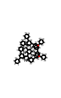 c1ccc(-c2ccc3c(c2)c2ccccc2n3-c2c(-c3ccncc3)c(-n3c4ccccc4c4cc(-c5ccccc5)ccc43)c(-n3c4ccccc4c4cc(-c5ccccc5)ccc43)c(-n3c4ccccc4c4cc(-c5ccccc5)ccc43)c2-c2nc3ccccc3s2)cc1